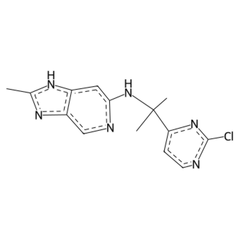 Cc1nc2cnc(NC(C)(C)c3ccnc(Cl)n3)cc2[nH]1